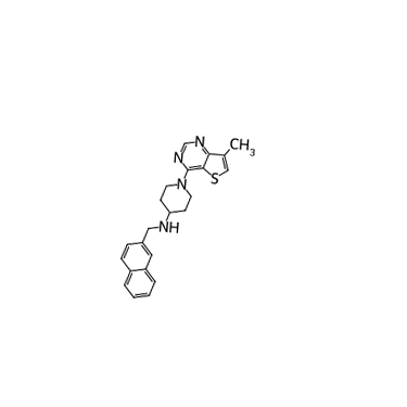 Cc1csc2c(N3CCC(NCc4ccc5ccccc5c4)CC3)ncnc12